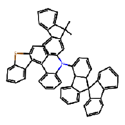 CC1(C)c2ccccc2-c2ccc(N(C3=CC=CC4C3c3ccccc3C43c4ccccc4-c4ccccc43)c3ccccc3-c3cccc4sc5ccccc5c34)cc21